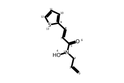 C=CCN(O)C(=O)C=Cc1cccs1